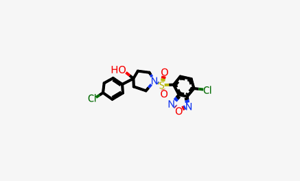 O=S(=O)(c1ccc(Cl)c2nonc12)N1CCC(O)(C2=CCC(Cl)C=C2)CC1